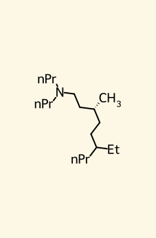 CCCC(CC)CC[C@@H](C)CCN(CCC)CCC